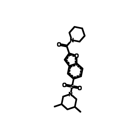 CC1CC(C)CN(S(=O)(=O)c2ccc3oc(C(=O)N4CCCCC4)cc3c2)C1